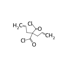 C=CCC(CC=C)(C(=O)Cl)C(=O)Cl